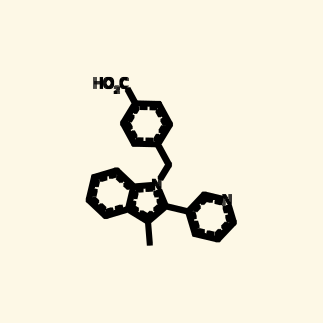 Cc1c(-c2cccnc2)n(Cc2ccc(C(=O)O)cc2)c2ccccc12